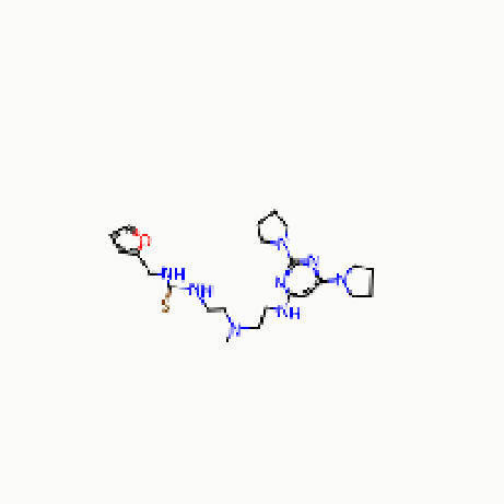 CN(CCNC(=S)NCc1ccco1)CCNc1cc(N2CCCC2)nc(N2CCCC2)n1